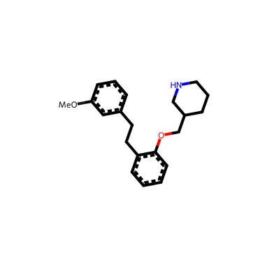 COc1cccc(CCc2ccccc2OCC2CCCNC2)c1